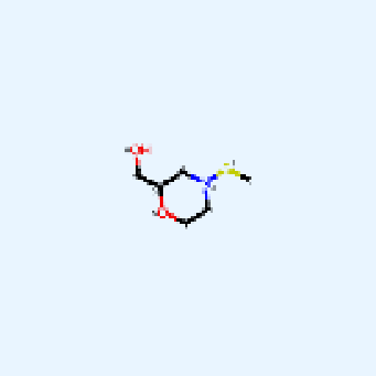 CSN1CCOC(CO)C1